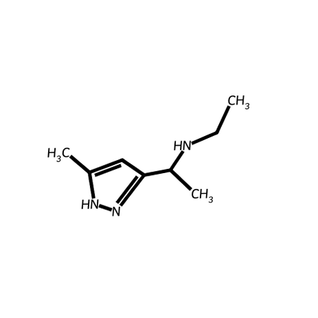 CCNC(C)c1cc(C)[nH]n1